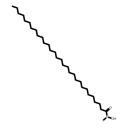 CCCCCCCCCCCCCCCCCCCCCCCCCCCCCC(=O)N(O)I